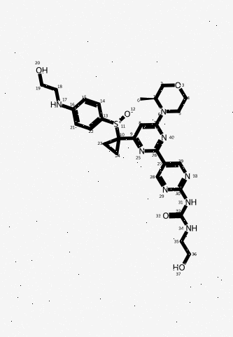 C[C@H]1COCCN1c1cc(C2([S+]([O-])c3ccc(NCCO)cc3)CC2)nc(-c2cnc(NC(=O)NCCO)nc2)n1